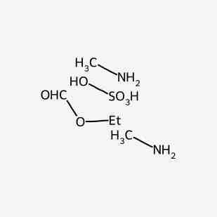 CCOC=O.CN.CN.O=S(=O)(O)O